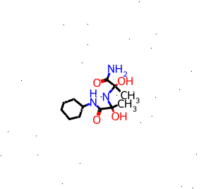 CC(O)([N]C(C)(O)C(=O)NC1CCCCC1)C(N)=O